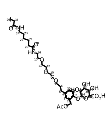 CC(=O)OCc1cc(CCCOCCOCCOCCNC(=O)CCCCCNC(=O)CI)ccc1O[C@@H]1O[C@H](C(=O)O)[C@@H](O)[C@H](O)[C@H]1O